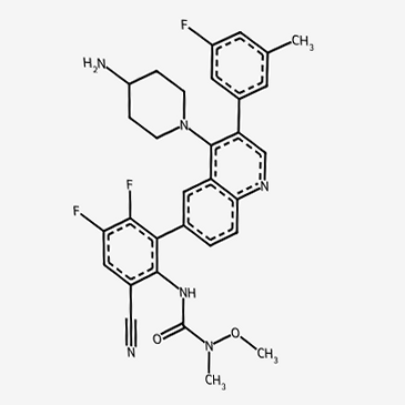 CON(C)C(=O)Nc1c(C#N)cc(F)c(F)c1-c1ccc2ncc(-c3cc(C)cc(F)c3)c(N3CCC(N)CC3)c2c1